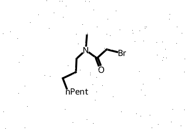 CCCCCCCCN(C)C(=O)CBr